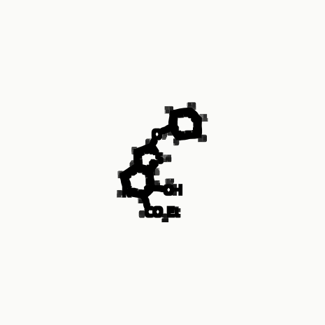 CCOC(=O)c1ncc2cc(Oc3ccccc3)sc2c1O